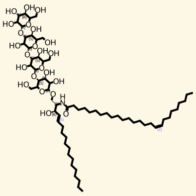 CCCCCCCC/C=C\CCCCCCCCCCCCCCCC(=O)N[C@@H](CO[C@@H]1OC(CO)[C@@H](O[C@@H]2OC(CO)[C@H](O)[C@H](O[C@H]3OC(CO)[C@H](O)[C@H](O[C@H]4OC(CO)[C@H](O)[C@H](O)C4O)C3O)C2O)[C@H](O)C1O)[C@H](O)/C=C/CCCCCCCCCCCCC